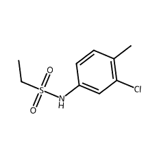 CCS(=O)(=O)Nc1ccc(C)c(Cl)c1